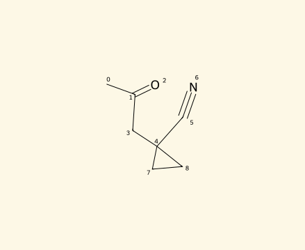 CC(=O)CC1(C#N)CC1